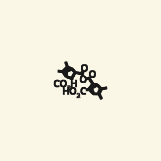 CC1=C(C)C2CC1C(C(=O)O)C2C(=O)OC(=O)C1C2CC(C(C)=C2C)C1C(=O)O